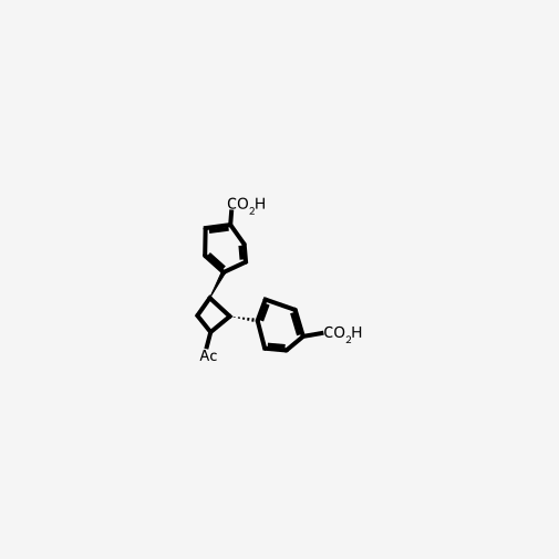 CC(=O)C1C[C@@H](c2ccc(C(=O)O)cc2)[C@@H]1c1ccc(C(=O)O)cc1